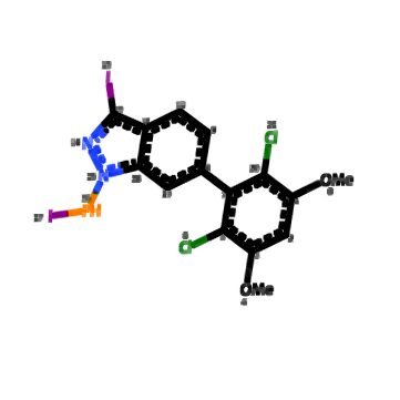 COc1cc(OC)c(Cl)c(-c2ccc3c(I)nn(PI)c3c2)c1Cl